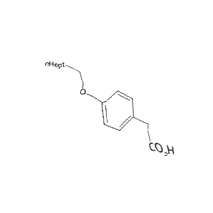 CCCCCCCCOc1ccc(CC(=O)O)cc1